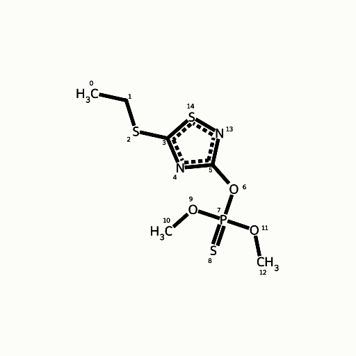 CCSc1nc(OP(=S)(OC)OC)ns1